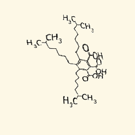 CC(C)CCCCCc1c(CCCCCC(C)C)c(C(=O)O)c(C(=O)O)c(C(=O)O)c1CCCCCC(C)C